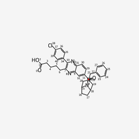 O=C(O)CCCCc1nc2cc(C(=O)N3C4CCC3CN(Cc3ccccc3)C4)ccc2nc1-c1ccc(Cl)cc1